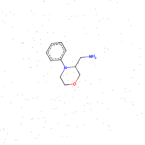 NCC1COCCN1c1ccccc1